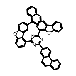 c1ccc2c(-c3ccc4oc5cccc(-c6nc(-c7ccc8c(ccc9ccccc98)c7)nc(-c7cccc8c7oc7ccccc78)n6)c5c4c3)cccc2c1